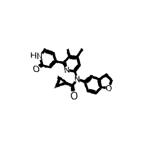 Cc1cc(N(C(=O)C2CC2)c2ccc3c(c2)CCO3)nc(-c2cc[nH]c(=O)c2)c1C